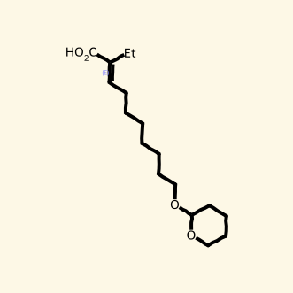 CC/C(=C\CCCCCCCOC1CCCCO1)C(=O)O